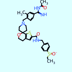 CC[S+]([O-])c1ccc(CNC(=O)c2cc3c(s2)C2(CCN(Cc4ccc(C(=N)NC(C)=O)cc4C)CC2)OCC3)cc1